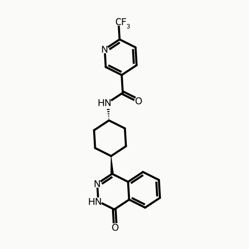 O=C(N[C@H]1CC[C@H](c2n[nH]c(=O)c3ccccc32)CC1)c1ccc(C(F)(F)F)nc1